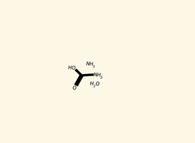 N.NC(=O)O.O